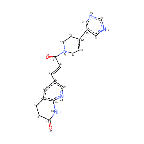 O=C1CCc2cc(C=CC(=O)N3CC=C(c4cncnc4)CC3)cnc2N1